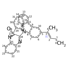 C=C/C=C(\C)c1ccc2c(c1)c1ccccc1n2C1=Nc2ccccc2N=S1(=O)c1ccccc1